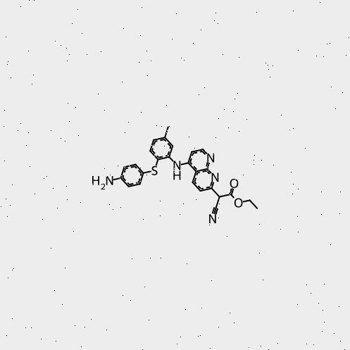 CCOC(=O)C(C#N)c1ccc2c(Nc3cc(C)ccc3Sc3ccc(N)cc3)ccnc2n1